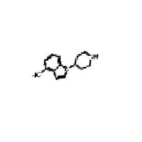 Oc1cccc2c1ccn2C1CCNCC1